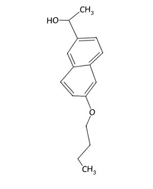 CCCCOc1ccc2cc(C(C)O)ccc2c1